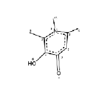 Cc1cc(=O)c(O)c(C)n1C